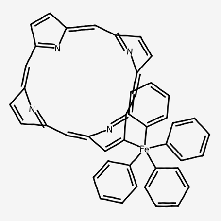 C1=CC2=NC1=CC1=NC(=CC3=NC(=CC4=NC(=C2)C=C4)C=[C]3[Fe]([c]2ccccc2)([c]2ccccc2)([c]2ccccc2)[c]2ccccc2)C=C1